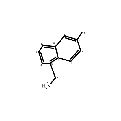 Cc1ccc2c(CN)cccc2c1